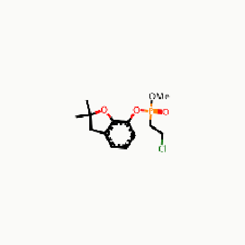 COP(=O)(CCCl)Oc1cccc2c1OC(C)(C)C2